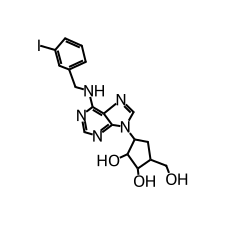 OCC1CC(n2cnc3c(NCc4cccc(I)c4)ncnc32)C(O)C1O